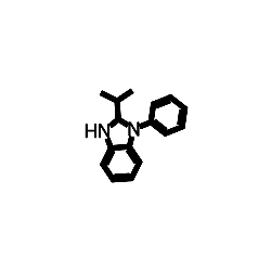 CC(C)C1Nc2ccccc2N1c1ccccc1